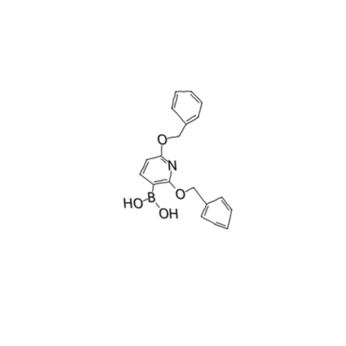 OB(O)c1ccc(OCc2ccccc2)nc1OCc1ccccc1